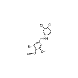 C#COc1c(Br)cc(CNc2ccc(Cl)c(Cl)c2)cc1OC